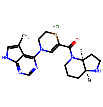 Cc1c[nH]c2ncnc(N3C=C(C(=O)N4CCC[C@@H]5NCC[C@@H]54)SCC3)c12.Cl